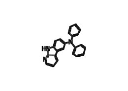 c1ccc(N(c2ccccc2)c2ccc3[nH]c4ncccc4c3c2)cc1